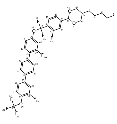 CCCCCC1COC(c2ccc(C(F)(F)Oc3ccc(-c4ccc(-c5ccc(OC(F)(F)F)c(F)c5)cc4)c(F)c3)c(F)c2)OC1